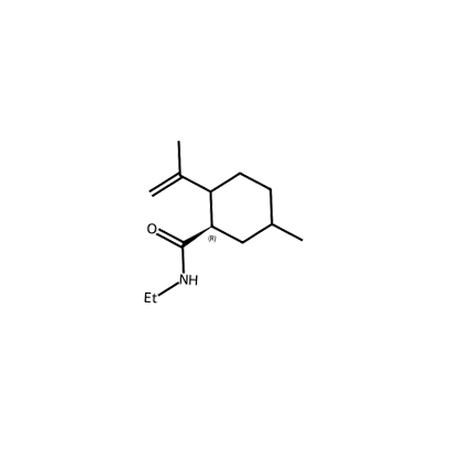 C=C(C)C1CCC(C)C[C@H]1C(=O)NCC